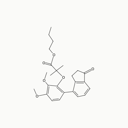 CCCCOC(=O)C(C)(C)Oc1c(-c2cccc3c2CCC3=O)ccc(OC)c1OC